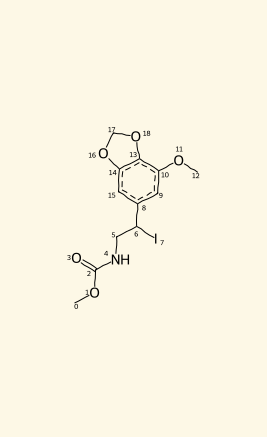 COC(=O)NCC(I)c1cc(OC)c2c(c1)OCO2